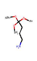 CC(C)(C)OC(CCCN)(O[SiH3])OC(C)(C)C